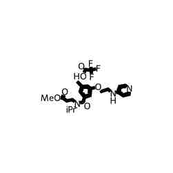 COC(=O)CCN(C(=O)c1cc(C)cc(OCCNc2ccncc2)c1)C(C)C.O=C(O)C(F)(F)F